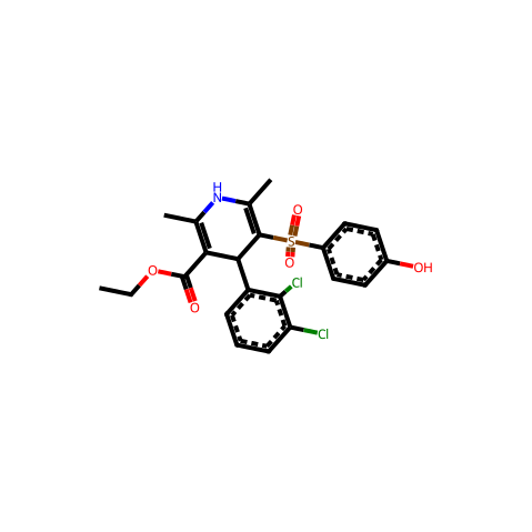 CCOC(=O)C1=C(C)NC(C)=C(S(=O)(=O)c2ccc(O)cc2)C1c1cccc(Cl)c1Cl